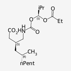 CCCCC[C@@H](C)C[C@H](CNC(=O)O[C@H](OC(=O)CC)C(C)C)CC(=O)O